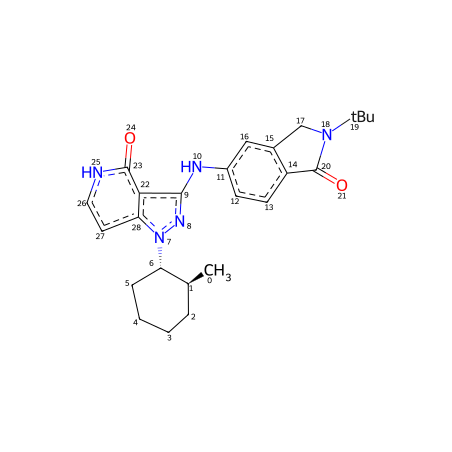 C[C@H]1CCCC[C@@H]1n1nc(Nc2ccc3c(c2)CN(C(C)(C)C)C3=O)c2c(=O)[nH]ccc21